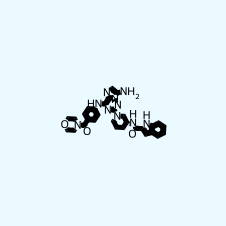 Nc1cnc2c(Nc3ccc(C(=O)N4CCOCC4)cc3)nc(N3CCC[C@@H](NC(=O)c4cc5ccccc5[nH]4)C3)nn12